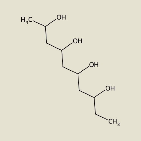 CCC(O)CC(O)CC(O)CC(C)O